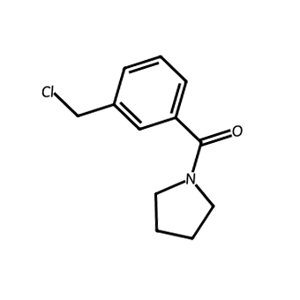 O=C(c1cccc(CCl)c1)N1CCCC1